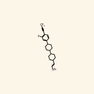 CCC/C=C/C1CCC(C2CCC(c3ccc(C#CC(F)(F)F)c(F)c3)CC2)CC1